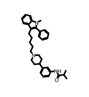 CC(C)C(=O)Nc1cccc(C2CCN(CCCCCc3c(-c4ccccc4)n(C)c4ccccc34)CC2)c1